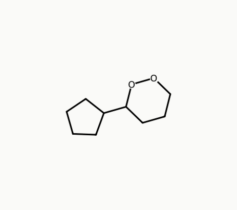 C1CCC(C2CCCOO2)C1